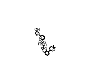 Cc1cccc(C2CCC(C)(C)OC2)c1OC1(C(=O)NS(=O)(=O)c2cccc(N3CCC(O)C3)n2)CC1